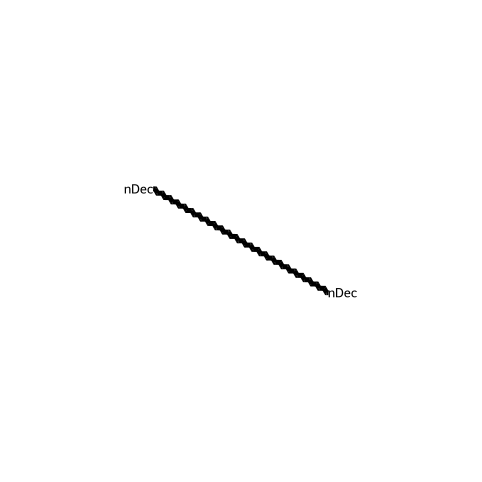 CCCCCCCCCCCCCCCCCCCCCCCCCCCCCCCCCCCCCCCCCCCCCCCCCCCCCCCCCCCCCCCCCCCC